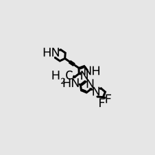 C=C(Nc1ccc(N2CCC(F)(F)C2)nc1)c1n[nH]cc1C#CC1CCNCC1